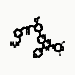 COc1ccc(-c2ccc3c(N4CCOCC4)nc(N4C[C@@H](C)O[C@@H](C)C4)nc3n2)cc1CNCc1cccc(CN)c1